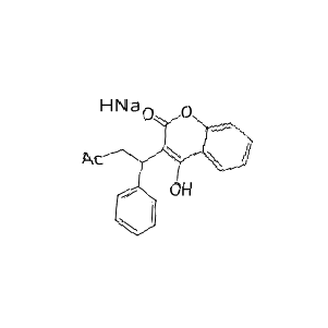 CC(=O)CC(c1ccccc1)c1c(O)c2ccccc2oc1=O.[NaH]